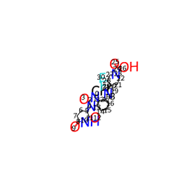 Cn1c(=O)n(C2CCC(=O)NC2=O)c2cccc(N3CC4(CCN(C(=O)O)CC4(F)F)C3)c21